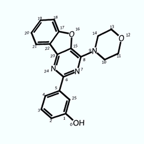 Oc1cccc(-c2nc(N3CCOCC3)c3oc4ccccc4c3n2)c1